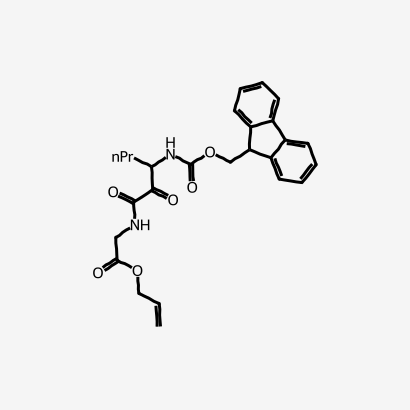 C=CCOC(=O)CNC(=O)C(=O)C(CCC)NC(=O)OCC1c2ccccc2-c2ccccc21